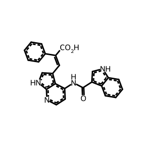 O=C(O)C(=Cc1c[nH]c2nccc(NC(=O)c3c[nH]c4ccccc34)c12)c1ccccc1